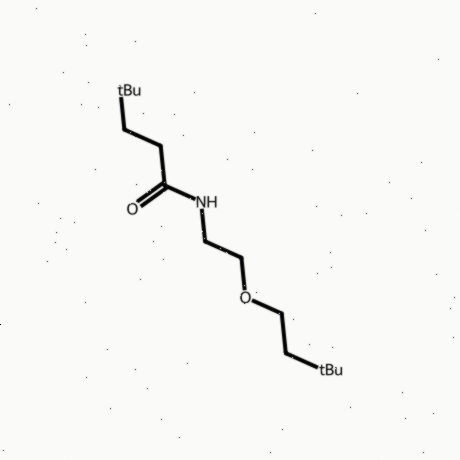 CC(C)(C)CCOCCNC(=O)CCC(C)(C)C